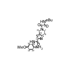 CCCCNC(=O)C(=O)N1CCc2nc(C(=O)Nc3cc(OC)ccc3N)sc2C1